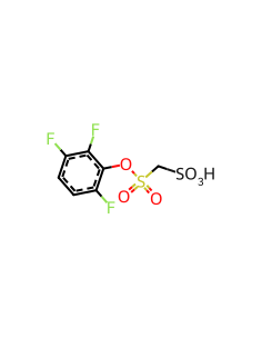 O=S(=O)(O)CS(=O)(=O)Oc1c(F)ccc(F)c1F